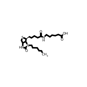 CCCCCCN1C(=O)NC2CS[C@@H](CCCCC(=O)NCCCCCC(=O)O)C21